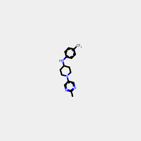 Cc1ncc(N2CCC(Nc3ccc(C(F)(F)F)cc3)CC2)cn1